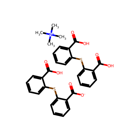 C[N+](C)(C)C.O=C(O)c1ccccc1Sc1ccccc1C(=O)O.O=C([O-])c1ccccc1Sc1ccccc1C(=O)O